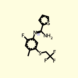 Cc1cc(F)c(/N=C(\N)c2cccs2)cc1SCC(F)(F)F